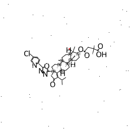 CC(C)C1=C2[C@H]3CC[C@@H]4[C@@]5(C)CC[C@H](OC(=O)CC(C)(C)C(=O)O)C(C)(C)[C@@H]5CC[C@@]4(C)[C@]3(C)CC[C@@]2(c2nnc(-c3ccc(Cl)cn3)o2)CC1=O